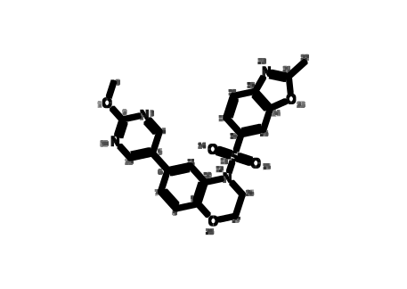 COc1ncc(-c2ccc3c(c2)N(S(=O)(=O)c2ccc4nc(C)oc4c2)CCO3)cn1